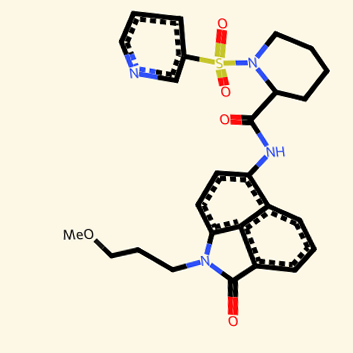 COCCCN1C(=O)c2cccc3c(NC(=O)C4CCCCN4S(=O)(=O)c4cccnc4)ccc1c23